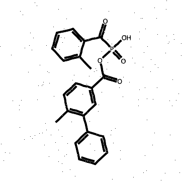 Cc1ccccc1C(=O)P(=O)(O)OC(=O)c1ccc(C)c(-c2ccccc2)c1